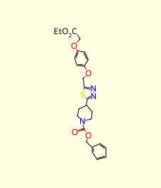 CCOC(=O)COc1ccc(OCc2nnc(C3CCN(C(=O)OCc4ccccc4)CC3)s2)cc1